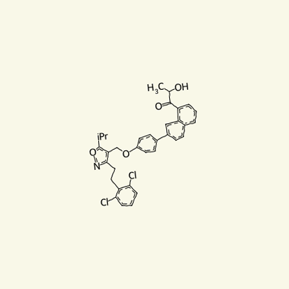 CC(O)C(=O)c1cccc2ccc(-c3ccc(OCc4c(CCc5c(Cl)cccc5Cl)noc4C(C)C)cc3)cc12